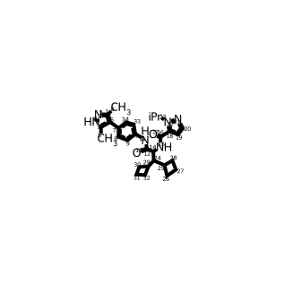 Cc1n[nH]c(C)c1-c1ccc(NC(=O)C(NC(=O)c2ccnn2C(C)C)C(C2CCC2)C2CCC2)cc1